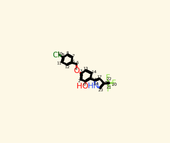 Oc1cc(OCc2ccc(Cl)cc2)ccc1-c1cc(C(F)(F)F)c[nH]1